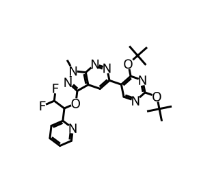 Cn1nc(OC(c2ccccn2)C(F)F)c2cc(-c3cnc(OC(C)(C)C)nc3OC(C)(C)C)nnc21